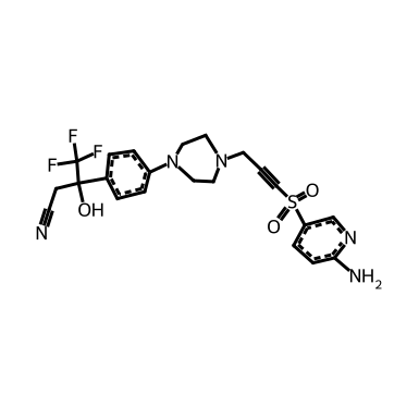 N#CCC(O)(c1ccc(N2CCN(CC#CS(=O)(=O)c3ccc(N)nc3)CC2)cc1)C(F)(F)F